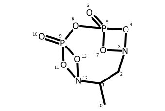 CC1CN2OP(=O)(O2)OP2(=O)ON1O2